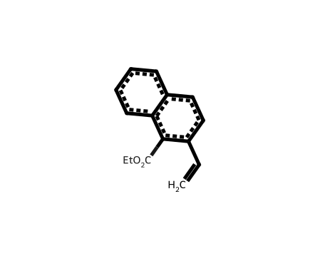 C=Cc1ccc2ccccc2c1C(=O)OCC